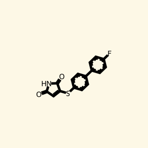 O=C1C=C(Sc2ccc(-c3ccc(F)cc3)cc2)C(=O)N1